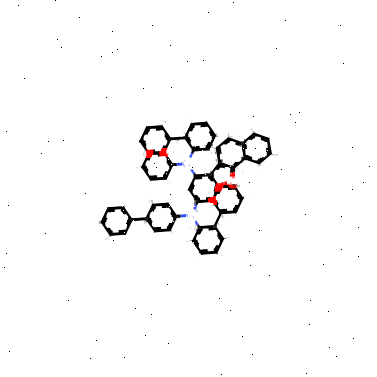 c1ccc(-c2ccc(N(c3cc(N(c4ccccc4)c4ccccc4-c4ccccc4)c4c(c3)oc3c5ccccc5ccc34)c3ccccc3-c3ccccc3)cc2)cc1